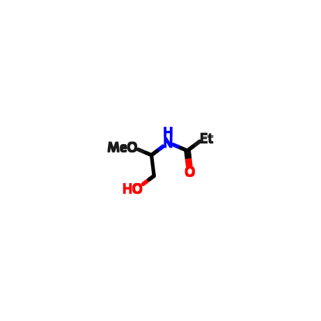 CCC(=O)NC(CO)OC